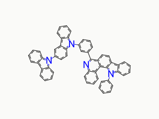 c1ccc(-n2c3ccccc3c3ccc4c(-c5cccc(-n6c7ccccc7c7cc(-n8c9ccccc9c9ccccc98)ccc76)c5)nc5ccccc5c4c32)cc1